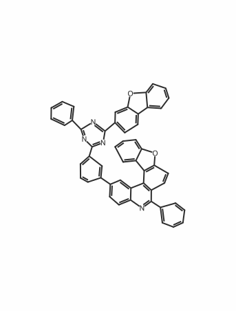 c1ccc(-c2nc(-c3cccc(-c4ccc5nc(-c6ccccc6)c6ccc7oc8ccccc8c7c6c5c4)c3)nc(-c3ccc4c(c3)oc3ccccc34)n2)cc1